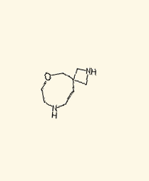 C1COCC2(CCN1)CNC2